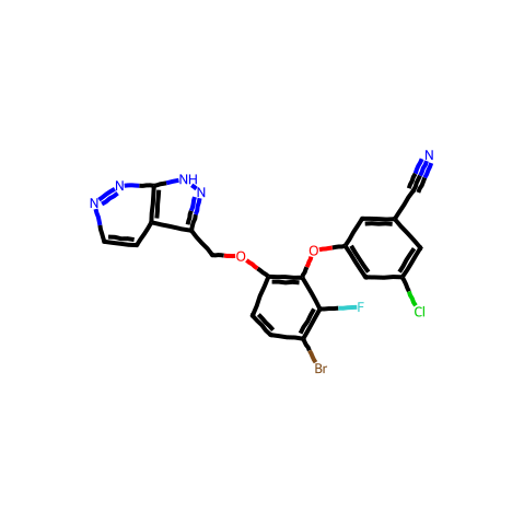 N#Cc1cc(Cl)cc(Oc2c(OCc3n[nH]c4nnccc34)ccc(Br)c2F)c1